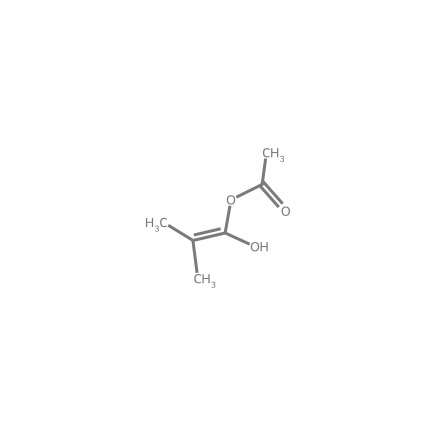 CC(=O)OC(O)=C(C)C